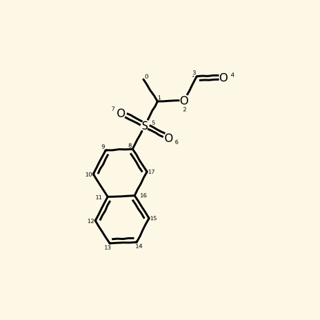 CC(O[C]=O)S(=O)(=O)c1ccc2ccccc2c1